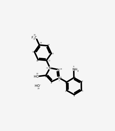 Nc1ccccc1-[n+]1cc(O)n(-c2ccc(C(F)(F)F)cc2)n1.[OH-]